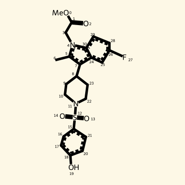 COC(=O)Cn1c(C)c(C2CCN(S(=O)(=O)c3ccc(O)cc3)CC2)c2cc(F)ccc21